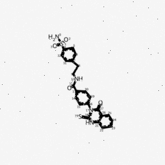 NS(=O)(=O)c1ccc(CCNC(=O)c2ccc(-n3c(=S)[nH]c4ccccc4c3=O)cc2)cc1